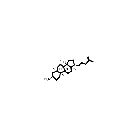 C=C(C)CCC[C@H]1CC[C@H]2[C@@H]3[C@@H](C)C[C@]4(C)C[C@H](N)CC[C@]4(C)[C@@]3(N)CC[C@]12C